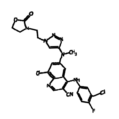 CN(c1cc(Cl)c2ncc(C#N)c(Nc3ccc(F)c(Cl)c3)c2c1)c1cn(CCN2CCOC2=O)nn1